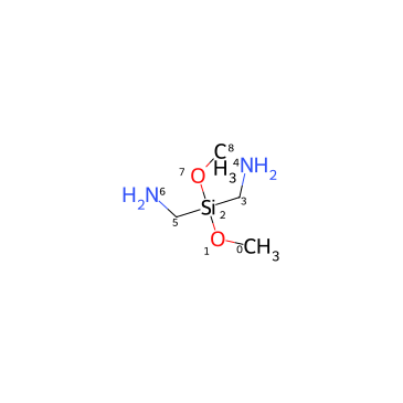 CO[Si](CN)(CN)OC